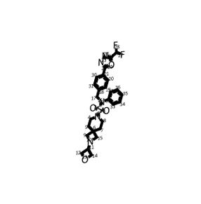 O=S(=O)(N1CCC2(CC1)CN(C1COC1)C2)N(Cc1ccc(-c2nnc(C(F)F)o2)cc1)c1ccccc1